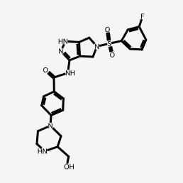 O=C(Nc1n[nH]c2c1CN(S(=O)(=O)c1cccc(F)c1)C2)c1ccc(N2CCNC(CO)C2)cc1